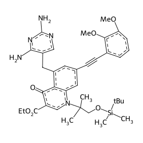 CCOC(=O)c1cn(C(C)(C)CO[Si](C)(C)C(C)(C)C)c2cc(C#Cc3cccc(OC)c3OC)cc(Cc3cnc(N)nc3N)c2c1=O